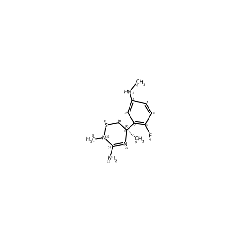 CNc1ccc(F)c([C@]2(C)CSN(C)C(N)=N2)c1